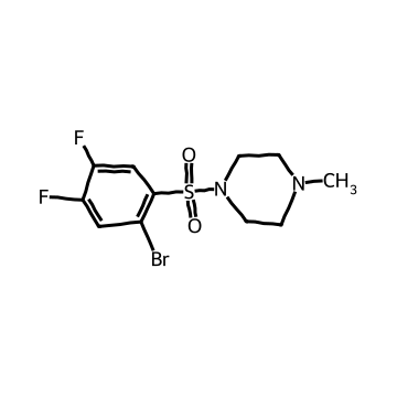 CN1CCN(S(=O)(=O)c2cc(F)c(F)cc2Br)CC1